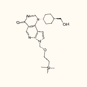 C[Si](C)(C)CCOCn1ccc2c1ncc1c(=O)ncn([C@H]3CC[C@H](CO)CC3)c12